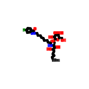 CCCCCCCCCCCCCC[C@@H](O)[C@@H](O)[C@H](CO[C@H]1O[C@H](CO)[C@H](O)[C@H](O)[C@H]1O)NC(=O)CCCCCCCCNC(=O)c1ccc(F)cc1